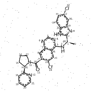 C[C@@H](Nc1ncnc2cc(C(=O)N3CCC[C@@H]3c3ccccn3)c(Cl)cc12)c1nc2cc(Cl)ccc2[nH]1